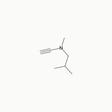 C#CN(C)CC(C)C